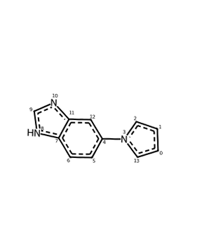 c1ccn(-c2ccc3[nH]cnc3c2)c1